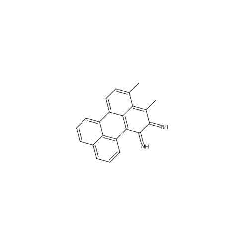 Cc1ccc2c3cccc4cccc(c5c(=N)c(=N)c(C)c1c25)c43